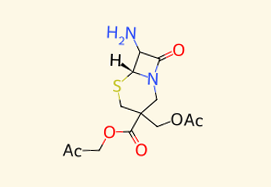 CC(=O)COC(=O)C1(COC(C)=O)CS[C@@H]2C(N)C(=O)N2C1